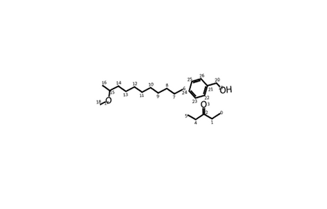 CCC(=O)CC.CCCCCCCCCC(C)OC.OCc1ccccc1